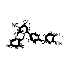 N#Cc1cc(Oc2ccc(-c3cc(C(F)(F)F)c(C#N)c(=O)n3Cc3ccc(F)cc3F)cc2)ccc1C(F)(F)F